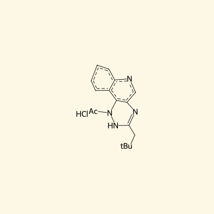 CC(=O)N1NC(CC(C)(C)C)=Nc2cnc3ccccc3c21.Cl